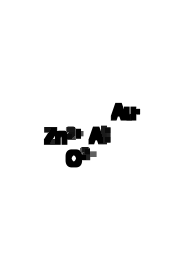 [Al].[Au].[O-2].[Zn+2]